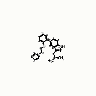 CN(C)Cc1n[nH]c2ccc(-c3ccccc3OCCn3ccnc3)cc12